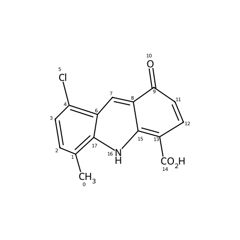 Cc1ccc(Cl)c2cc3c(=O)ccc(C(=O)O)c-3[nH]c12